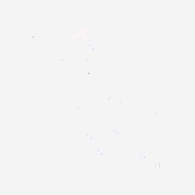 CN1Cc2cc(Cl)ccc2-n2c(nnc2[C@H]2CC[C@@H](c3noc4c3CCCC4)CC2)C1